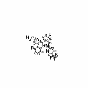 Cc1nc(C(=O)N2CCC(F)(F)C2CNc2ncc(C(F)(F)F)cn2)c(-c2ccccc2F)s1